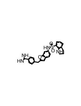 N=C(N)c1ccc(Cc2cc3ccc(NS(=O)(=O)c4cccc5c4NCCC5)cc3o2)cc1